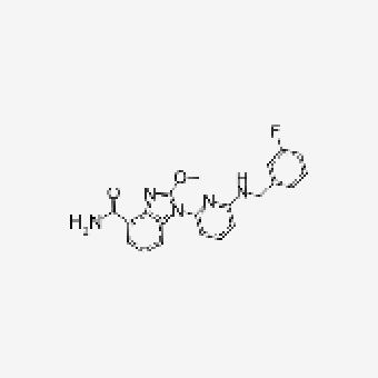 COc1nc2c(C(N)=O)cccc2n1-c1cccc(NCc2cccc(F)c2)n1